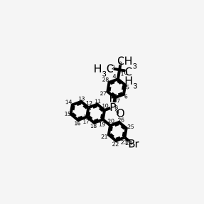 CC(C)(C)c1ccc([PH](=O)c2cc3ccccc3cc2-c2ccc(Br)cc2)cc1